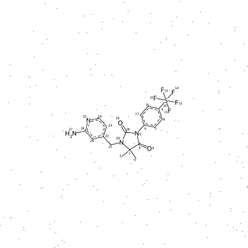 CC1(C)C(=O)N(c2ccc(S(F)(F)(F)(F)F)cc2)C(=O)N1Cc1ccnc(N)c1